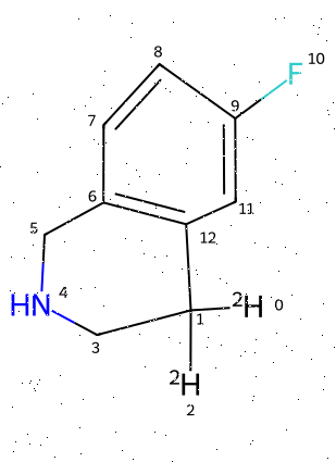 [2H]C1([2H])CNCc2ccc(F)cc21